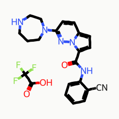 N#Cc1ccccc1NC(=O)c1ccc2ccc(N3CCCNCC3)nn12.O=C(O)C(F)(F)F